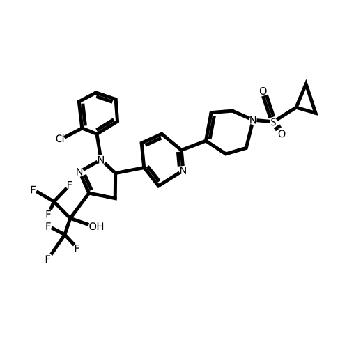 O=S(=O)(C1CC1)N1CC=C(c2ccc(C3CC(C(O)(C(F)(F)F)C(F)(F)F)=NN3c3ccccc3Cl)cn2)CC1